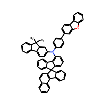 CC1(C)c2ccccc2-c2ccc(N(c3ccc(-c4ccc5c(c4)oc4ccccc45)cc3)c3cccc4c3-c3ccccc3C43c4ccccc4-c4c3ccc3ccccc43)cc21